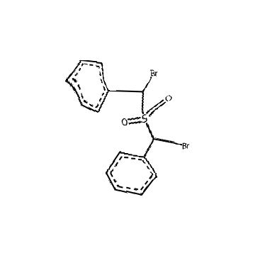 O=S(=O)(C(Br)c1ccccc1)C(Br)c1ccccc1